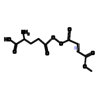 COC(=O)/C=C/C(=O)OOC(=O)CCC(N)C(=O)O